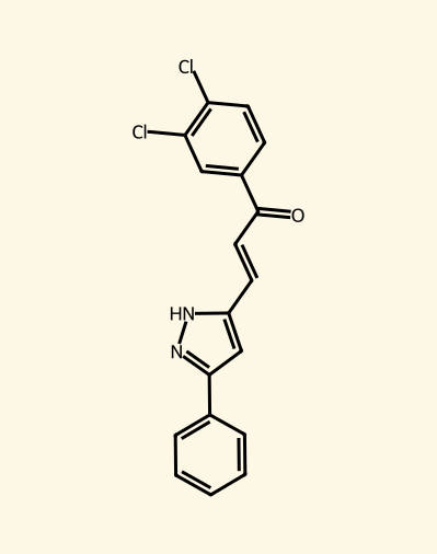 O=C(/C=C/c1cc(-c2ccccc2)n[nH]1)c1ccc(Cl)c(Cl)c1